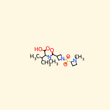 CC(C)C(C(=O)O)N(C)C(=O)C1CN(S(=O)(=O)[C@H]2CCN2C)C1